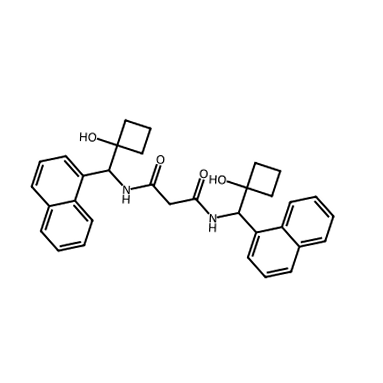 O=C(CC(=O)NC(c1cccc2ccccc12)C1(O)CCC1)NC(c1cccc2ccccc12)C1(O)CCC1